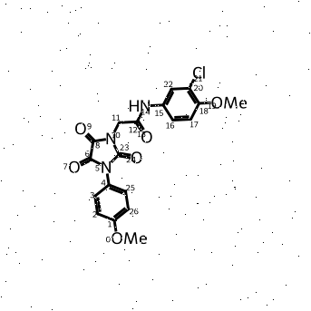 COc1ccc(N2C(=O)C(=O)N(CC(=O)Nc3ccc(OC)c(Cl)c3)C2=O)cc1